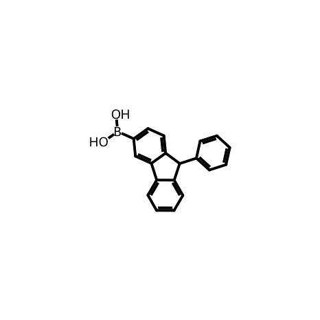 OB(O)c1ccc2c(c1)-c1ccccc1C2c1ccccc1